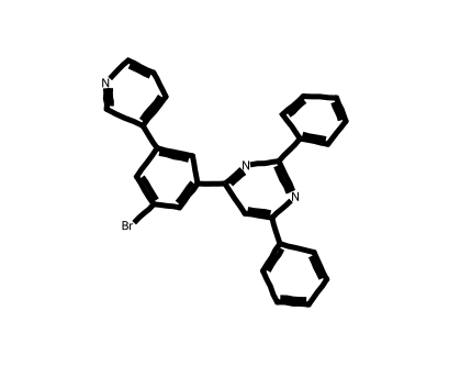 Brc1cc(-c2cccnc2)cc(-c2cc(-c3ccccc3)nc(-c3ccccc3)n2)c1